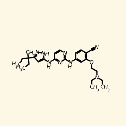 CCN(CC)CCOc1cc(Nc2nccc(Nc3cc(C(C)(CC)CC)n[nH]3)n2)ccc1C#N